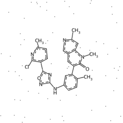 Cc1cc2c(cn1)cc(-c1cc(Nc3noc(-c4ccc(C)nc4Cl)n3)ccc1C)c(=O)n2C